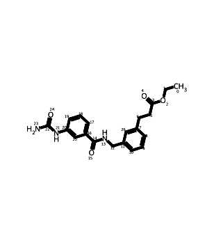 CCOC(=O)CCc1cccc(CNC(=O)c2cccc(NC(N)=O)c2)c1